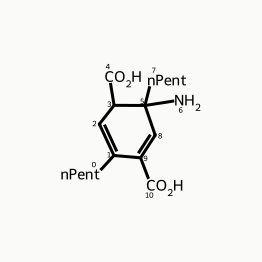 CCCCCC1=CC(C(=O)O)C(N)(CCCCC)C=C1C(=O)O